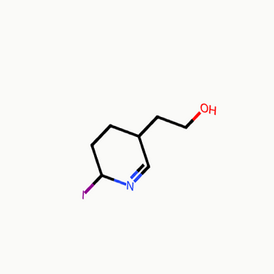 OCCC1C=NC(I)CC1